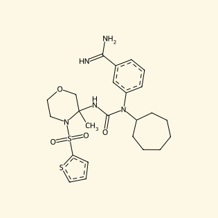 CC1(NC(=O)N(c2cccc(C(=N)N)c2)C2CCCCCC2)COCCN1S(=O)(=O)c1cccs1